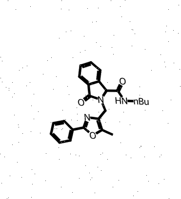 CCCCNC(=O)C1c2ccccc2C(=O)N1Cc1nc(-c2ccccc2)oc1C